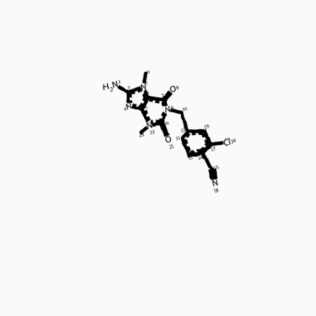 Cn1c(N)nc2c1c(=O)n(Cc1ccc(C#N)c(Cl)c1)c(=O)n2C